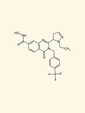 CCN1N=CCC1c1nc2cc(C(=O)NO)ccc2c(=O)n1Cc1ccc(C(F)(F)F)cc1